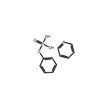 O=P(O)(O)Oc1ccccc1.c1ccncc1